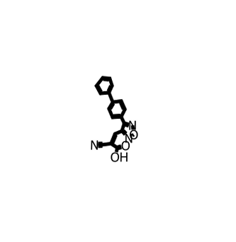 N#C/C(=C/c1nonc1-c1ccc(-c2ccccc2)cc1)C(=O)O